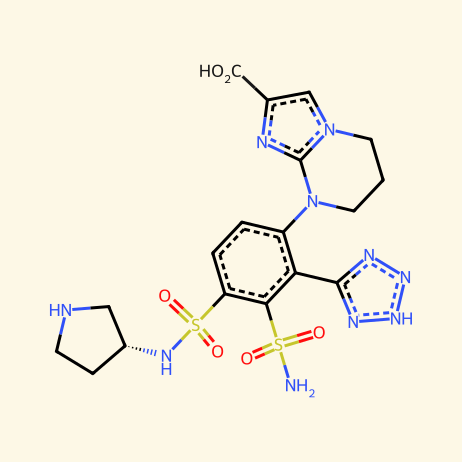 NS(=O)(=O)c1c(S(=O)(=O)N[C@@H]2CCNC2)ccc(N2CCCn3cc(C(=O)O)nc32)c1-c1nn[nH]n1